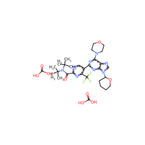 CC(C)(C)N(C(=O)c1ncc(-c2nc(N3CCOCC3)c3ncn(C4CCCCO4)c3n2)c(C(F)(F)F)n1)C(C)(C)C.O=C(O)O.O=C(O)O